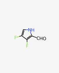 O=Cc1[nH]cc(F)c1F